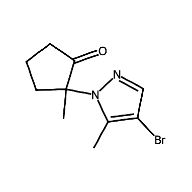 Cc1c(Br)cnn1C1(C)CCCC1=O